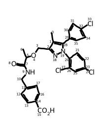 Cc1c(COC(C)C(=O)NCc2ccc(C(=O)O)cc2)nn(-c2ccc(Cl)cc2Cl)c1-c1ccc(Cl)cc1